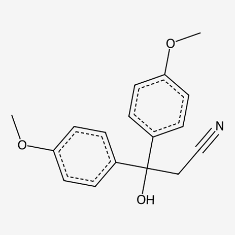 COc1ccc(C(O)(CC#N)c2ccc(OC)cc2)cc1